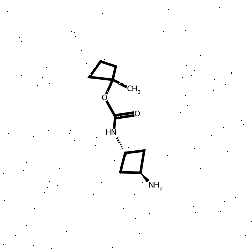 CC1(OC(=O)N[C@H]2C[C@H](N)C2)CCC1